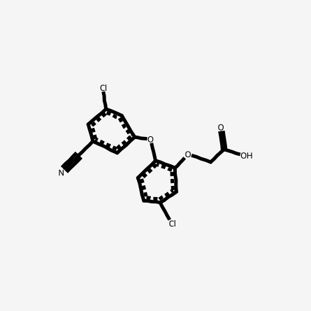 N#Cc1cc(Cl)cc(Oc2ccc(Cl)cc2OCC(=O)O)c1